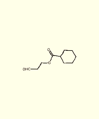 O=CCCOC(=O)C1CCCCC1